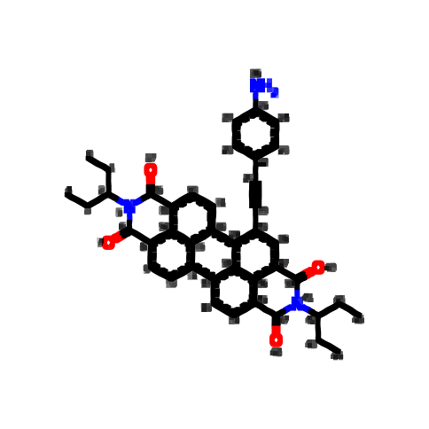 CCC(CC)N1C(=O)c2ccc3c4ccc5c6c(cc(C#Cc7ccc(N)cc7)c(c7ccc(c2c37)C1=O)c64)C(=O)N(C(CC)CC)C5=O